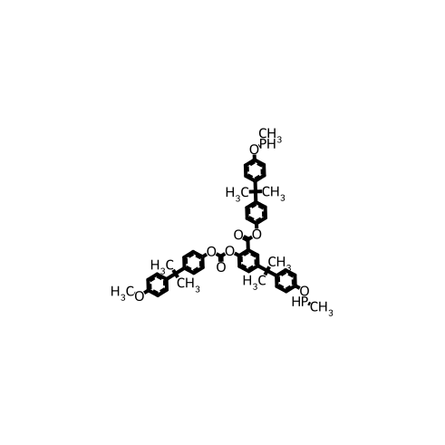 COc1ccc(C(C)(C)c2ccc(OC(=O)Oc3ccc(C(C)(C)c4ccc(OPC)cc4)cc3C(=O)Oc3ccc(C(C)(C)c4ccc(OPC)cc4)cc3)cc2)cc1